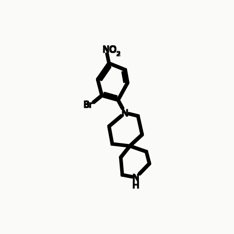 O=[N+]([O-])c1ccc(N2CCC3(CCNCC3)CC2)c(Br)c1